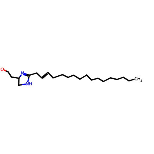 CCCCCCCCCCCCCCC=CCC1=NC(CCO)CN1